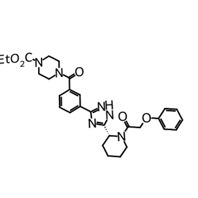 CCOC(=O)N1CCN(C(=O)c2cccc(-c3n[nH]c([C@H]4CCCCN4C(=O)COc4ccccc4)n3)c2)CC1